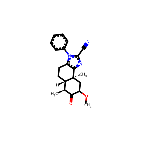 COC1C[C@]2(C)c3nc(C#N)n(-c4ccccc4)c3CC[C@H]2[C@H](C)C1=O